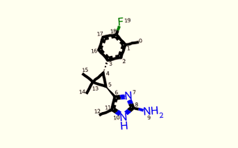 Cc1cc([C@@H]2[C@@H](c3nc(N)[nH]c3C)C2(C)C)ccc1F